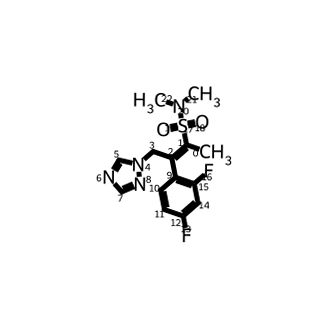 C/C(=C(/Cn1cncn1)c1ccc(F)cc1F)S(=O)(=O)N(C)C